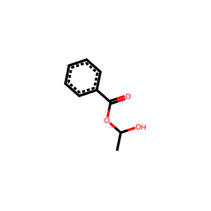 CC(O)OC(=O)c1cc[c]cc1